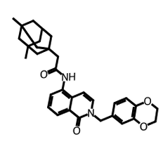 CC12CC3CC(C)(C1)CC(CC(=O)Nc1cccc4c(=O)n(Cc5ccc6c(c5)OCCO6)ccc14)(C3)C2